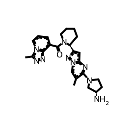 Cc1cn2nc([C@@H]3CCCCN3C(=O)c3cccn4c(C)nnc34)cc2nc1N1CC[C@H](N)C1